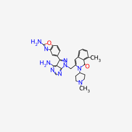 Cc1cccc2cc(Cn3nc(-c4ccc5oc(N)nc5c4)c4c(N)ncnc43)n(C3CCN(C)CC3)c(=O)c12